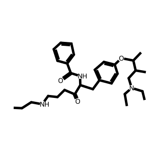 CCCNCCCC(=O)C(Cc1ccc(OC(C)C(C)CN(CC)CC)cc1)NC(=O)c1ccccc1